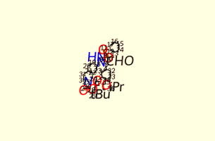 CCOc1cc(C(C=O)N(NS(=O)(=O)c2ccccc2)c2ccc3c(c2)CN(C(=O)OC(C)(C)C)CC3)ccc1OC(C)C